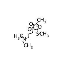 CCN(C)CCCP(=O)(C(=O)SC)C(=O)SC